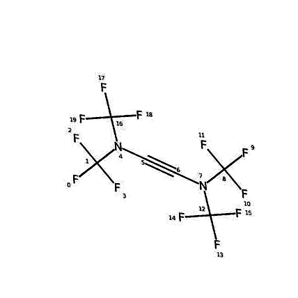 FC(F)(F)N(C#CN(C(F)(F)F)C(F)(F)F)C(F)(F)F